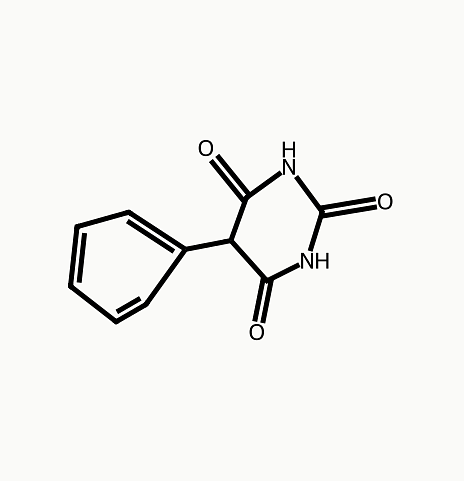 O=C1NC(=O)[C](c2ccccc2)C(=O)N1